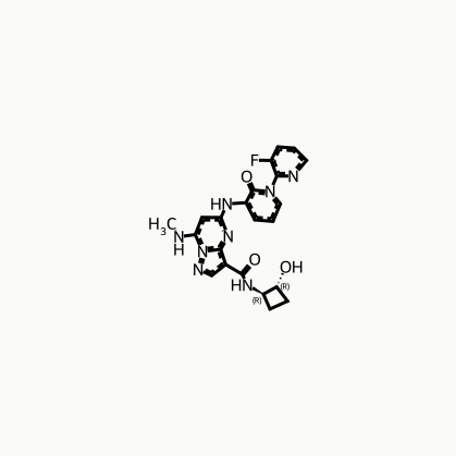 CNc1cc(Nc2cccn(-c3ncccc3F)c2=O)nc2c(C(=O)N[C@@H]3CC[C@H]3O)cnn12